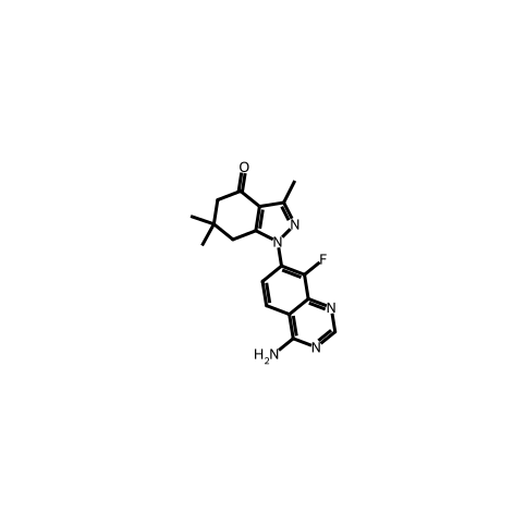 Cc1nn(-c2ccc3c(N)ncnc3c2F)c2c1C(=O)CC(C)(C)C2